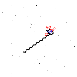 CCCCCCCCCCCCCCCCC1(C(=O)C(C)C(=O)O)CCC(=O)N1